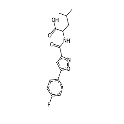 CC(C)CC(NC(=O)c1cc(-c2ccc(F)cc2)on1)C(=O)O